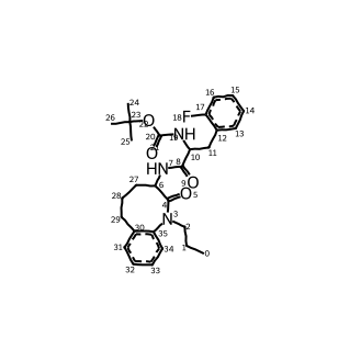 CCCN1C(=O)C(NC(=O)C(Cc2ccccc2F)NC(=O)OC(C)(C)C)CCCc2ccccc21